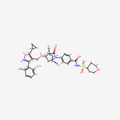 O=C(NS(=O)(=O)C1CCOCC1)c1ccc(N2C(=O)[C@@H]3C[C@H]2C[C@H]3OCc2c(-c3c(Cl)cccc3Cl)noc2C2CC2)cc1